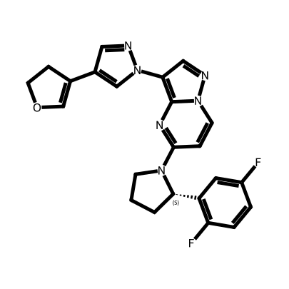 Fc1ccc(F)c([C@@H]2CCCN2c2ccn3ncc(-n4cc(C5=COCC5)cn4)c3n2)c1